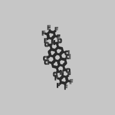 O=C1c2cc(Cl)c3c4c(Cl)cc5c6c(cc(Cl)c(c7c(Cl)cc(c2c37)C(=O)N1c1c(F)c(F)c(F)c(F)c1F)c64)C(=O)N(c1c(F)c(F)c(F)c(F)c1F)C5=O